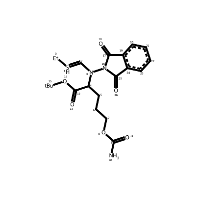 CC[SH]=CN(C(CCCOC(N)=O)C(=O)OC(C)(C)C)N1C(=O)c2ccccc2C1=O